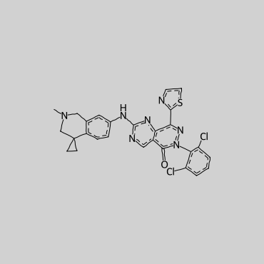 CN1Cc2cc(Nc3ncc4c(=O)n(-c5c(Cl)cccc5Cl)nc(-c5nccs5)c4n3)ccc2C2(CC2)C1